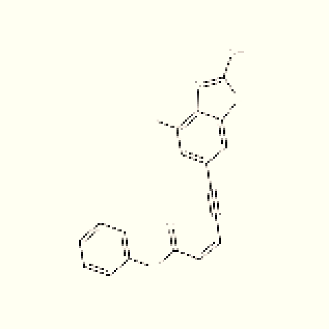 Nc1nc2c(O)cc(C#C/C=C\C(=O)Nc3ccccc3)cc2s1